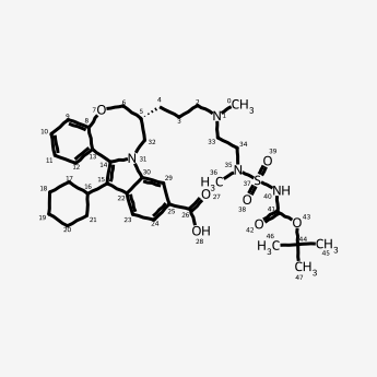 CN(CCC[C@H]1COc2ccccc2-c2c(C3CCCCC3)c3ccc(C(=O)O)cc3n2C1)CCN(C)S(=O)(=O)NC(=O)OC(C)(C)C